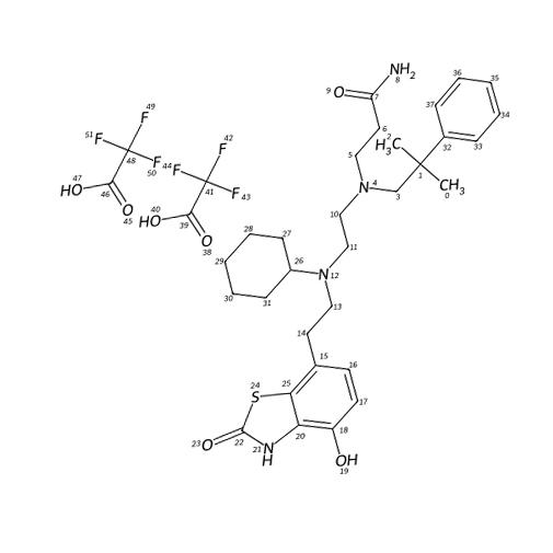 CC(C)(CN(CCC(N)=O)CCN(CCc1ccc(O)c2[nH]c(=O)sc12)C1CCCCC1)c1ccccc1.O=C(O)C(F)(F)F.O=C(O)C(F)(F)F